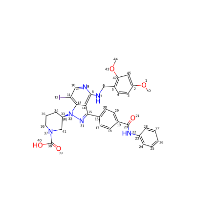 COc1ccc(CNc2ncc(I)c3c2c(-c2ccc(C(=O)Nc4ccccc4)cc2)nn3[C@@H]2CCCN(C(=O)O)C2)c(OC)c1